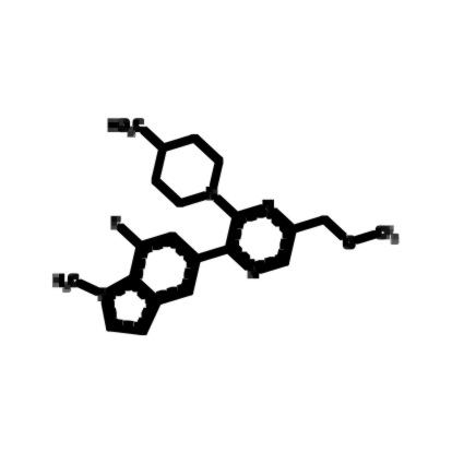 Cn1ccc2cc(-c3ncc(COC(F)(F)F)nc3N3CCC(C(=O)O)CC3)cc(F)c21